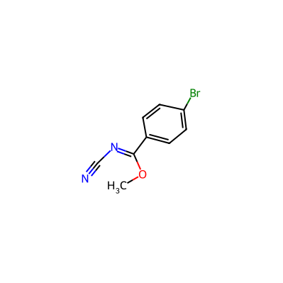 COC(=NC#N)c1ccc(Br)cc1